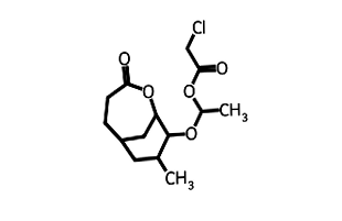 CC(OC(=O)CCl)OC1C(C)CC2CCC(=O)OC1C2